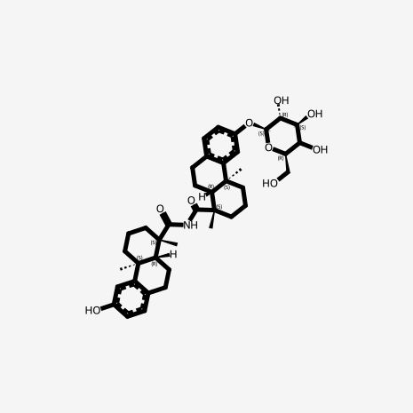 C[C@]1(C(=O)NC(=O)[C@@]2(C)CCC[C@]3(C)c4cc(O[C@@H]5O[C@H](CO)C(O)[C@H](O)[C@H]5O)ccc4CC[C@@H]23)CCC[C@]2(C)c3cc(O)ccc3CC[C@@H]12